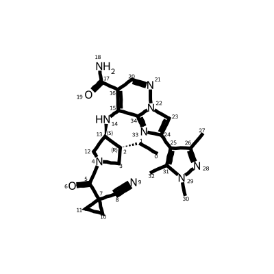 CC[C@@H]1CN(C(=O)C2(C#N)CC2)C[C@H]1Nc1c(C(N)=O)cnn2cc(-c3c(C)nn(C)c3C)nc12